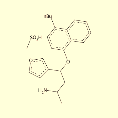 CCCCc1ccc(OC(CC(C)N)c2ccoc2)c2ccccc12.CS(=O)(=O)O